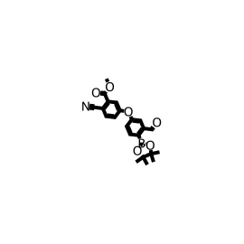 COC(=O)c1cc(Oc2ccc(B3OC(C)(C)C(C)(C)O3)c(C=O)c2)ccc1C#N